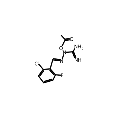 CC(=O)ON(N=Cc1c(F)cccc1Cl)C(=N)N